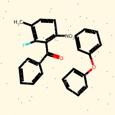 Cc1ccc([N+](=O)[O-])c(C(=O)c2ccccc2)c1F.c1ccc(Oc2ccccc2)cc1